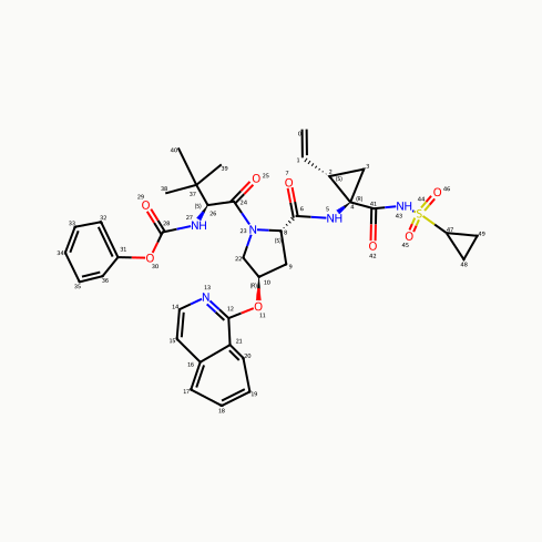 C=C[C@@H]1C[C@]1(NC(=O)[C@@H]1C[C@@H](Oc2nccc3ccccc23)CN1C(=O)[C@@H](NC(=O)Oc1ccccc1)C(C)(C)C)C(=O)NS(=O)(=O)C1CC1